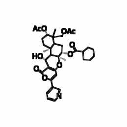 CC(=O)OCC1(C)C2C[C@H](OC(=O)C3CCCCC3)[C@@]3(C)Oc4cc(-c5cccnc5)oc(=O)c4[C@H](O)C3[C@@]2(C)CC[C@@H]1OC(C)=O